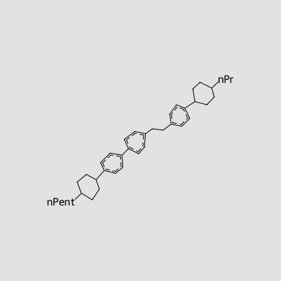 CCCCCC1CCC(c2ccc(-c3ccc(CCc4ccc(C5CCC(CCC)CC5)cc4)cc3)cc2)CC1